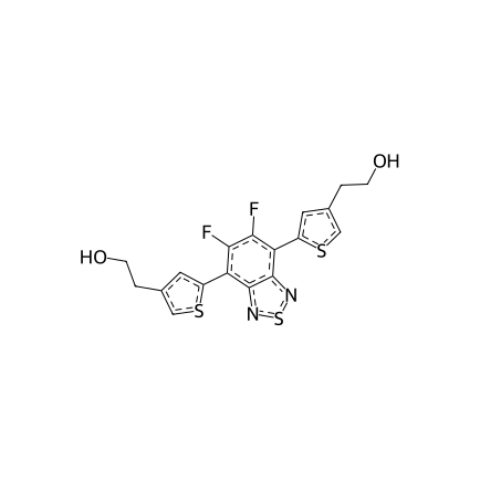 OCCc1csc(-c2c(F)c(F)c(-c3cc(CCO)cs3)c3nsnc23)c1